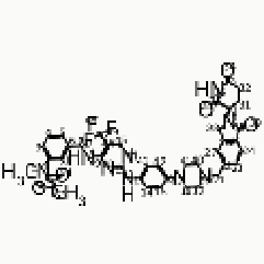 CN(c1cccc(CNc2nc(Nc3ccc(N4CCN(Cc5ccc6c(c5)CN(C5CCC(=O)NC5=O)C6=O)CC4)cc3)ncc2C(F)(F)F)c1)S(C)(=O)=O